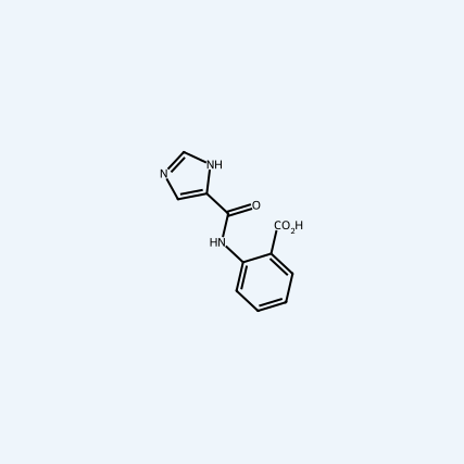 O=C(Nc1ccccc1C(=O)O)c1cnc[nH]1